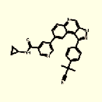 CC(C)(C#N)c1ccc(-c2n[nH]c3cnc4ccc(-c5cncc(C(=O)NC6CC6)c5)cc4c23)cc1